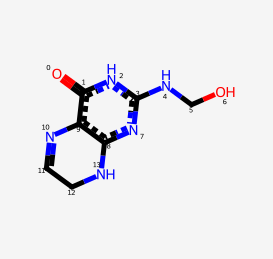 O=c1[nH]c(NCO)nc2c1N=CCN2